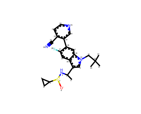 CC(N[S+]([O-])C1CC1)c1cn(CC(C)(C)C)c2cc(-c3cnccc3C#N)c(F)cc12